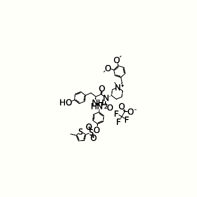 COc1ccc(C[N+]2(C)CCC[C@H](N(C(=O)Nc3ccc(OS(=O)(=O)c4ccc(C)s4)cc3)C(=O)[C@@H](N)Cc3ccc(O)cc3)C2)cc1OC.O=C([O-])C(F)(F)F